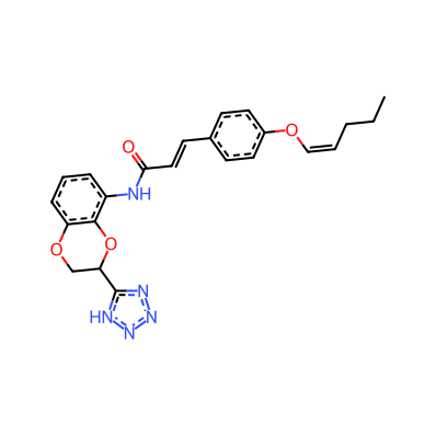 CCC/C=C\Oc1ccc(/C=C/C(=O)Nc2cccc3c2OC(c2nnn[nH]2)CO3)cc1